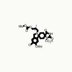 COc1cc2c(cc1Cl)CN(C[C@@H](C)COC(=O)OC(C)(C)C)C21CCC2(CC1)C(=O)NC(=O)N2C(=O)O